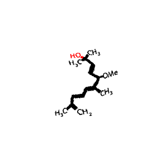 C=C(C)/C=C/C=C(\C)[C@@H](/C=C/C(C)(C)O)OC